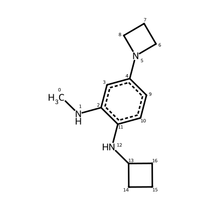 CNc1cc(N2CCC2)ccc1NC1CCC1